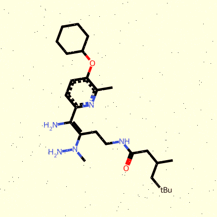 Cc1nc(/C(N)=C(\CCNC(=O)CC(C)CC(C)(C)C)N(C)N)ccc1OC1CCCCC1